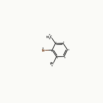 Cc1cccc(C(C)C)c1Br